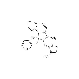 CN1CCSC1=CC1=[N+](C)c2ccc3ccccc3c2C1(C)Cc1ccccc1